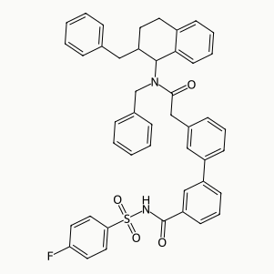 O=C(NS(=O)(=O)c1ccc(F)cc1)c1cccc(-c2cccc(CC(=O)N(Cc3ccccc3)C3c4ccccc4CCC3Cc3ccccc3)c2)c1